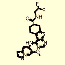 COc1cn2nccc2cc1Nc1ncnc2sc3c(c12)CC[C@H](C(=O)NCC(F)F)C3